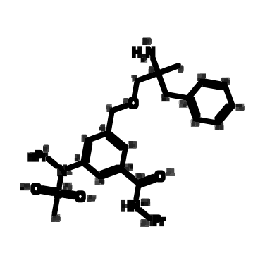 CCCN(c1cc(COCC(C)(N)Cc2ccccc2)cc(C(=O)NC(C)C)c1)S(C)(=O)=O